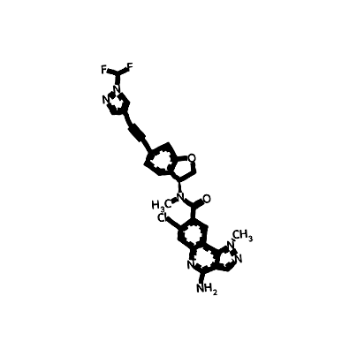 CN(C(=O)c1cc2c(cc1Cl)nc(N)c1cnn(C)c12)[C@@H]1COc2cc(C#Cc3cnn(C(F)F)c3)ccc21